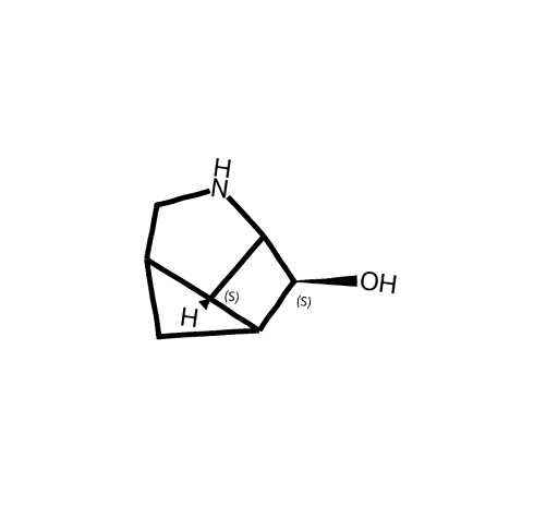 O[C@H]1C2CC3CNC1[C@@H]32